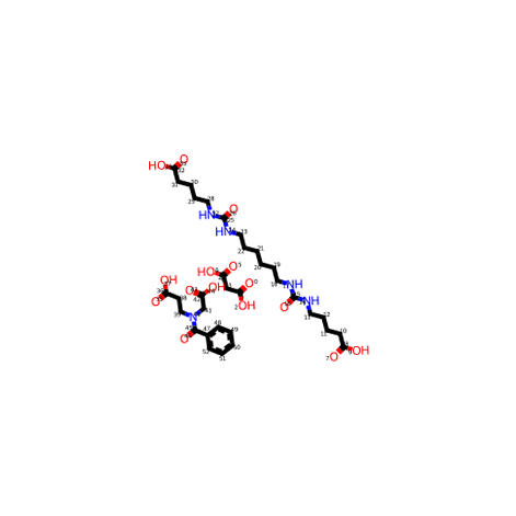 O=C(O)CC(=O)O.O=C(O)CCCCNC(=O)NCCCCCCNC(=O)NCCCCC(=O)O.O=C(O)CCN(CC(=O)O)C(=O)c1ccccc1